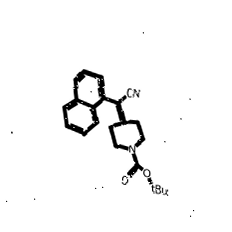 CC(C)(C)OC(=O)N1CCC(=C(C#N)c2cccc3ccccc23)CC1